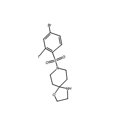 O=S(=O)(c1ccc(Br)cc1I)N1CCC2(CC1)NCCO2